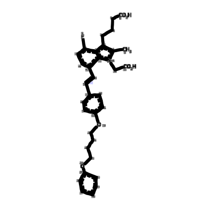 Cc1c(CCCC(=O)O)c2c(F)ccc(/C=C/c3ccc(OCCCCOc4ccccc4)cc3)c2n1CC(=O)O